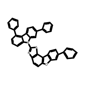 c1ccc(-c2ccc3c(c2)oc2ccc4nc(-n5c6cc(-c7ccccc7)ccc6c6c(-c7ccccc7)cccc65)sc4c23)cc1